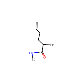 C=CCCC(C(=O)NCC)C(C)C